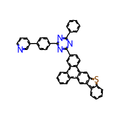 c1ccc(-c2nc(-c3ccc(-c4cccnc4)cc3)nc(-c3ccc4c(c3)c3ccccc3c3cc5c(cc43)sc3ccccc35)n2)cc1